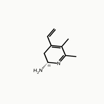 C=CC1=C(C)C(C)=N[C@H](N)C1